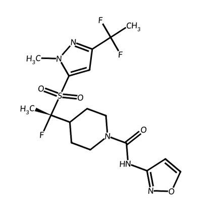 Cn1nc(C(C)(F)F)cc1S(=O)(=O)[C@@](C)(F)C1CCN(C(=O)Nc2ccon2)CC1